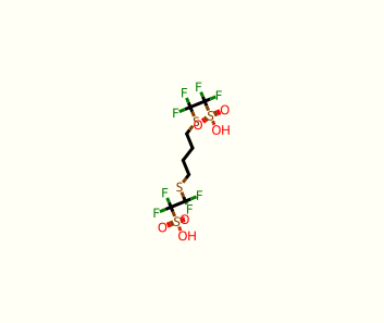 O=S(=O)(O)C(F)(F)C(F)(F)SCCCCSC(F)(F)C(F)(F)S(=O)(=O)O